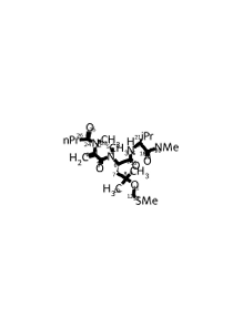 C=C(C(=O)N(C)[C@@H](CC(C)(C)OCSC)C(=O)N[C@H](C(=O)NC)C(C)C)N(C)C(=O)CCC